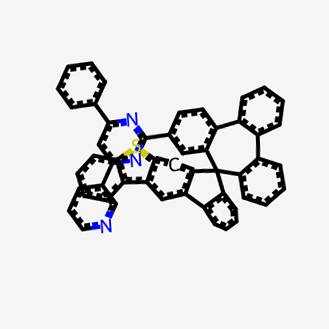 c1ccc(-c2cc(-c3cccnc3)nc(-c3ccc4c(c3)C3(c5ccccc5-c5ccccc5-4)c4ccccc4-c4cc5c(cc43)sc3ccccc35)n2)cc1